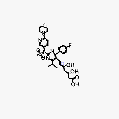 CC(C)c1nc(N(c2ccc(N3CCOCC3)nc2)S(C)(=O)=O)nc(-c2ccc(F)cc2)c1/C=C/[C@@H](O)C[C@@H](O)CC(=O)O